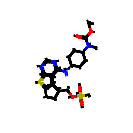 CN(C(=O)OC(C)(C)C)[C@H]1CC[C@H](Nc2ncnc3sc4c(c23)[C@@H](COS(C)(=O)=O)CC4)CC1